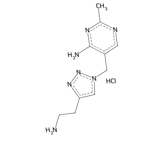 Cc1ncc(Cn2cc(CCN)nn2)c(N)n1.Cl